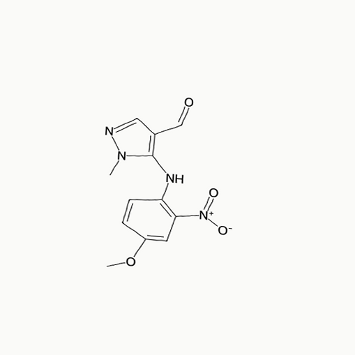 COc1ccc(Nc2c(C=O)cnn2C)c([N+](=O)[O-])c1